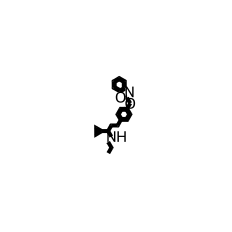 CCCNC(CCc1ccc(Oc2nc3ccccc3o2)cc1)C1CC1